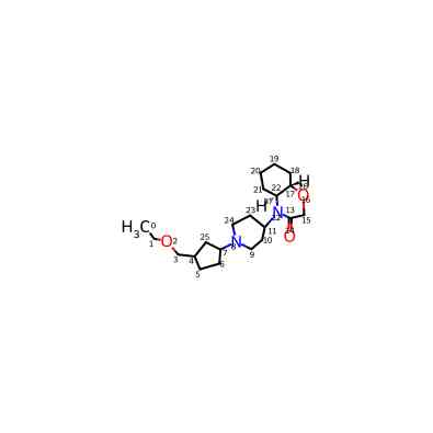 CCOCC1CCC(N2CCC(N3C(=O)CO[C@H]4CCCC[C@@H]43)CC2)C1